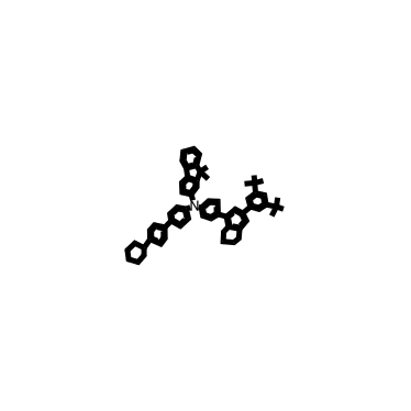 CC(C)(C)c1cc(-c2cc3c(c(-c4ccc(N(c5ccc(-c6ccc(C7CCCCC7)cc6)cc5)c5ccc6c(c5)C(C)(C)c5ccccc5-6)cc4)c2)CCCC3)cc(C(C)(C)C)c1